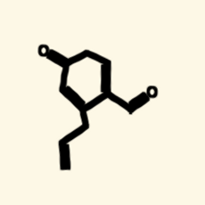 C=CCC1=CC(=O)CC=C1[C]=O